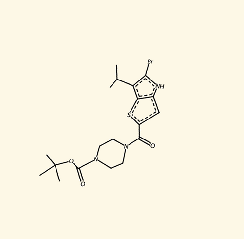 CC(C)c1c(Br)[nH]c2cc(C(=O)N3CCN(C(=O)OC(C)(C)C)CC3)sc12